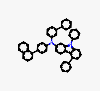 c1ccc(-c2cccc(N(c3ccc(-c4cccc5ccccc45)cc3)c3ccc4c5c(-c6ccccc6)cccc5n(-c5ccccc5)c4c3)c2)cc1